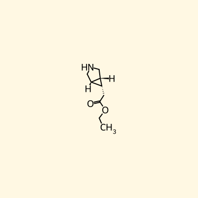 CCOC(=O)C[C@@H]1[C@@H]2CNC[C@@H]21